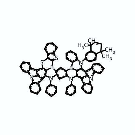 CC1(C)CCC(C)(C)c2cc(N3c4ccccc4B4c5cc6c(cc5N(c5ccccc5)c5c4c3c3c4ccccc4n4c7ccccc7c5c34)N(c3ccccc3)c3c4c(c5c7ccccc7n7c8ccccc8c3c57)Sc3c(sc5ccccc35)B64)ccc21